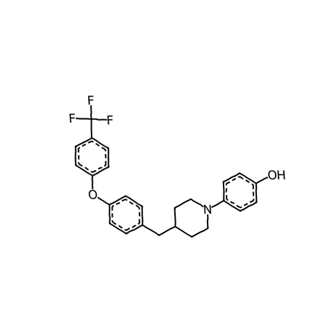 Oc1ccc(N2CCC(Cc3ccc(Oc4ccc(C(F)(F)F)cc4)cc3)CC2)cc1